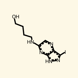 OCCCCNc1cnc2c(I)n[nH]c2n1